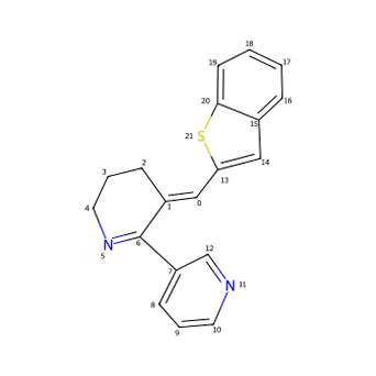 C(=C1CCCN=C1c1cccnc1)c1cc2ccccc2s1